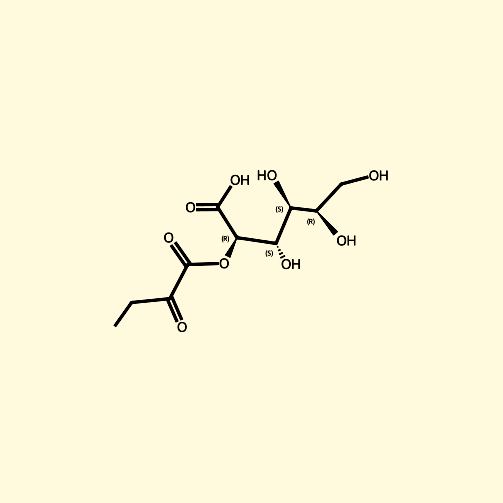 CCC(=O)C(=O)O[C@@H](C(=O)O)[C@@H](O)[C@@H](O)[C@H](O)CO